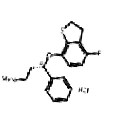 CNCC[C@H](Oc1ccc(F)c2c1SCC2)c1ccccc1.Cl